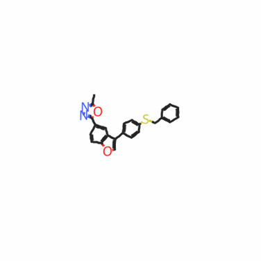 Cc1nnc(-c2ccc3occ(-c4ccc(SCc5ccccc5)cc4)c3c2)o1